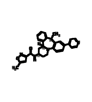 Cc1cc(C(=O)N[C@@H]2CCN3c4ccc(-c5ccncc5)cc4[C@H](C)c4ccccc4[C@H]3C2)no1